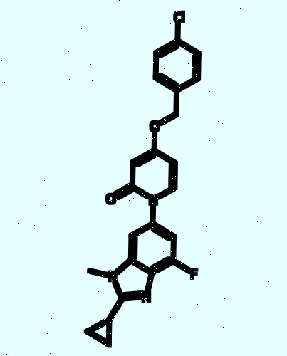 Cn1c(C2CC2)nc2c(F)cc(-n3ccc(OCc4ccc(Cl)cc4)cc3=O)cc21